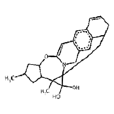 CC1CC2OC3=Cc4cc5c6cc4CN3C3(CC6CC=C5)C(O)(O)C3(C)C2C1